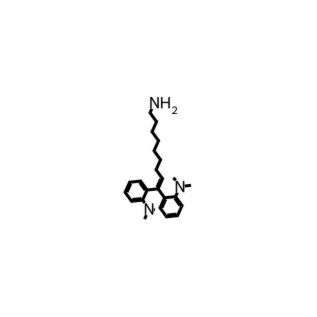 CN(C)c1ccccc1C(=CCCCCCCCN)c1ccccc1N(C)C